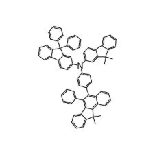 CC1(C)c2ccccc2-c2ccc(N(c3ccc(-c4c(-c5ccccc5)c5c(c6ccccc46)C(C)(C)c4ccccc4-5)cc3)c3ccc4c(c3)C(c3ccccc3)(c3ccccc3)c3ccccc3-4)cc21